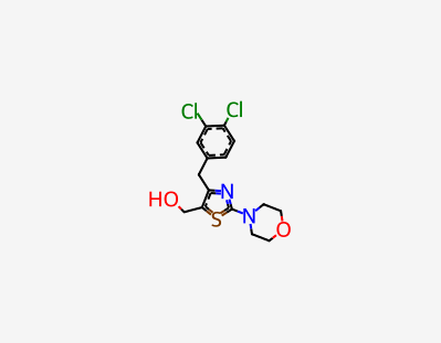 OCc1sc(N2CCOCC2)nc1Cc1ccc(Cl)c(Cl)c1